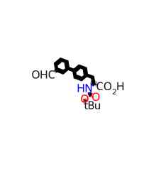 CC(C)(C)OC(=O)N[C@H](Cc1ccc(-c2cccc(C=O)c2)cc1)C(=O)O